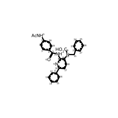 CC(=O)Nc1ccc(C(=O)Nc2nc(-c3ccccc3)ccc2N(Cc2ccccc2)C(=O)O)cc1